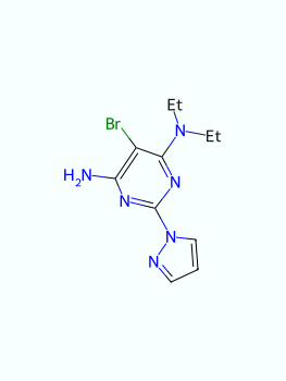 CCN(CC)c1nc(-n2cccn2)nc(N)c1Br